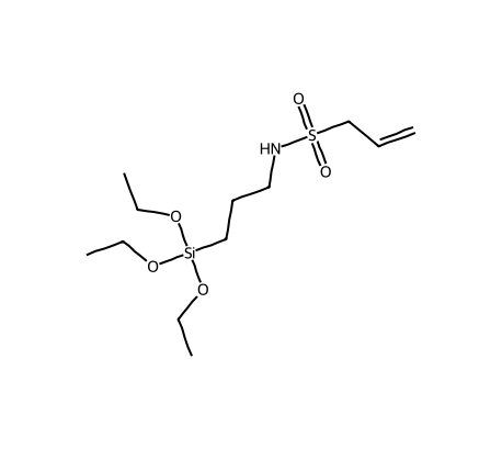 C=CCS(=O)(=O)NCCC[Si](OCC)(OCC)OCC